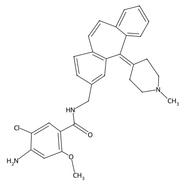 COc1cc(N)c(Cl)cc1C(=O)NCc1ccc2c(c1)C(=C1CCN(C)CC1)c1ccccc1C=C2